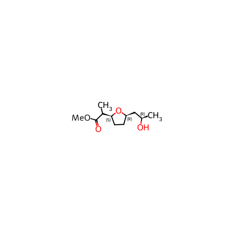 COC(=O)C(C)[C@@H]1CC[C@H](C[C@@H](C)O)O1